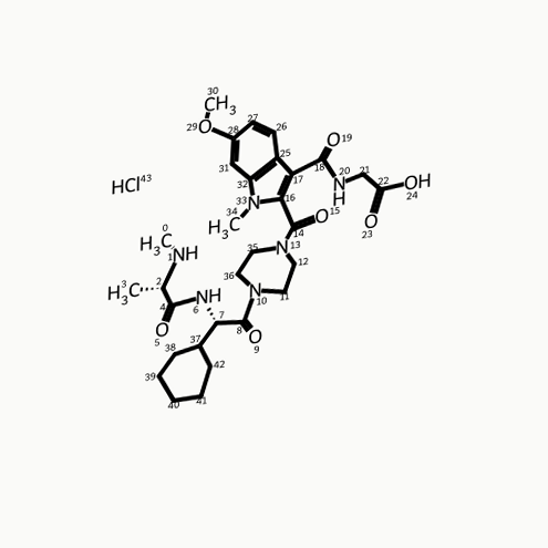 CN[C@@H](C)C(=O)N[C@H](C(=O)N1CCN(C(=O)c2c(C(=O)NCC(=O)O)c3ccc(OC)cc3n2C)CC1)C1CCCCC1.Cl